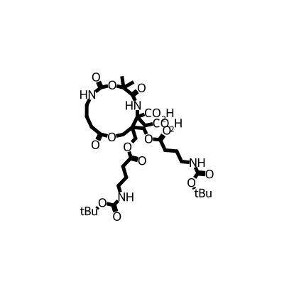 CC(C)(C)OC(=O)NCCCC(=O)OCC1(COC(=O)CCCNC(=O)OC(C)(C)C)COC(=O)CCCNC(=O)OC(C)(C)C(=O)NC1(CC(=O)O)C(=O)O